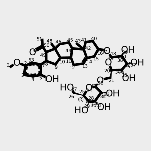 COc1ccc(O)c(C2CC3C4CC=C5CC(OC6O[C@H](CO[C@@H]7O[C@H](CO)[C@@H](O)[C@H](O)[C@H]7O)[C@@H](O)[C@H](O)[C@H]6O)CCC5(C)C4CCC3(C)C2C(C)=O)c1